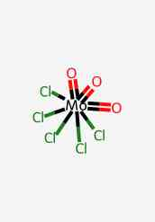 [O]=[Mo](=[O])(=[O])([Cl])([Cl])([Cl])([Cl])[Cl]